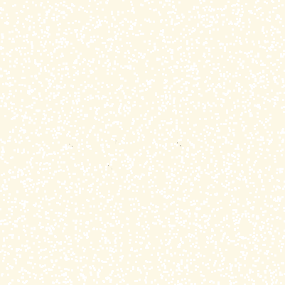 c1ccc2c(c1)[nH]c1c2ccc2c1c1ccccc1n1c3ccncc3nc21